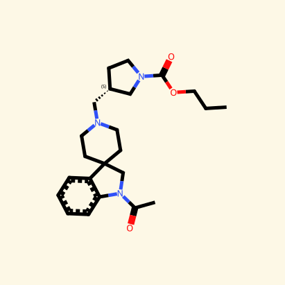 CCCOC(=O)N1CC[C@@H](CN2CCC3(CC2)CN(C(C)=O)c2ccccc23)C1